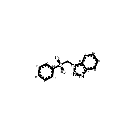 O=S(=O)(Cn1nnc2ccccc21)c1ccccc1